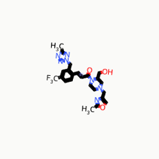 Cc1nnn(Cc2cc(C(F)(F)F)ccc2/C=C/C(=O)N2CCN(Cc3coc(C)n3)CC2CO)n1